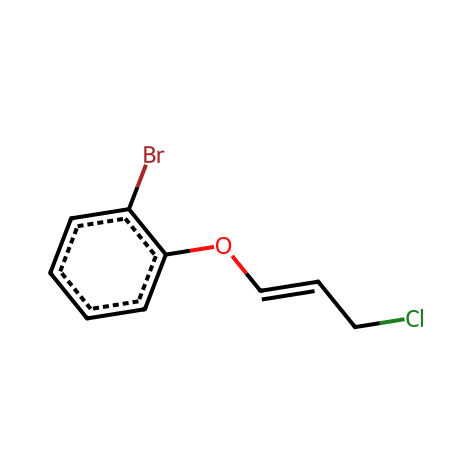 ClCC=COc1ccccc1Br